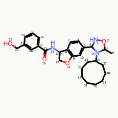 CC1ONC(c2ccc3c(c2)OC[C@H]3NC(=O)c2cccc(CO)c2)N1C1CCCCCCCC1